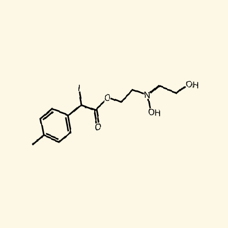 Cc1ccc(C(I)C(=O)OCCN(O)CCO)cc1